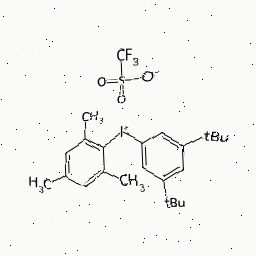 Cc1cc(C)c([I+]c2cc(C(C)(C)C)cc(C(C)(C)C)c2)c(C)c1.O=S(=O)([O-])C(F)(F)F